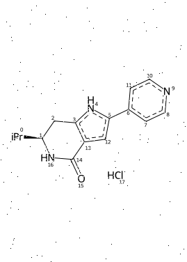 CC(C)[C@H]1Cc2[nH]c(-c3ccncc3)cc2C(=O)N1.Cl